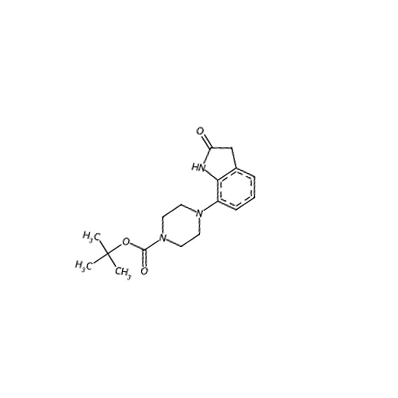 CC(C)(C)OC(=O)N1CCN(c2cccc3c2NC(=O)C3)CC1